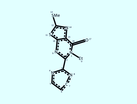 CCn1c(-c2ncccn2)nc2sc(SC)nc2c1=O